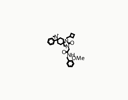 COc1ccccc1CNC(=O)CN1CC2(CCC(c3ccccc3)(N(C)C)CC2)N(CC2CCC2)C1=O